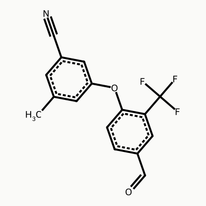 Cc1cc(C#N)cc(Oc2ccc(C=O)cc2C(F)(F)F)c1